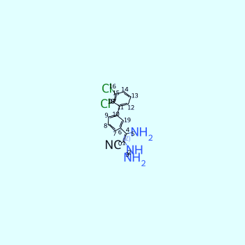 N#C/C(NN)=C(/N)c1cccc(-c2cccc(Cl)c2Cl)c1